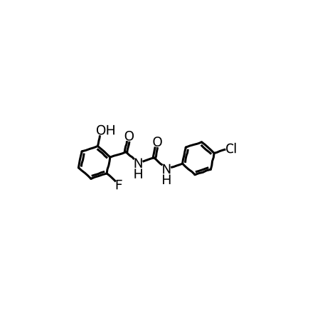 O=C(NC(=O)c1c(O)cccc1F)Nc1ccc(Cl)cc1